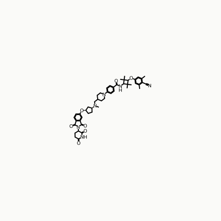 Cc1cc(OC2C(C)(C)C(NC(=O)c3ccc(N4CCC(CN(C)[C@H]5CC[C@@H](Oc6ccc7c(c6)C(=O)N(C6CCC(=O)NC6=O)C7=O)C5)CC4)cc3)C2(C)C)cc(C)c1C#N